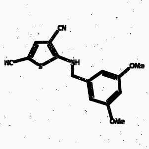 COc1cc(CNc2sc(C#N)cc2C#N)cc(OC)c1